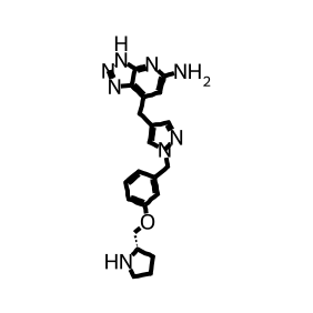 Nc1cc(Cc2cnn(Cc3cccc(OC[C@@H]4CCCN4)c3)c2)c2nn[nH]c2n1